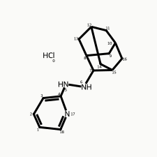 Cl.c1ccc(NNC2C3CC4CC(C3)CC2C4)nc1